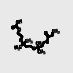 C=CC(=O)OCCC(C)(C)OCCC(C)(C)OCCOC(=O)O